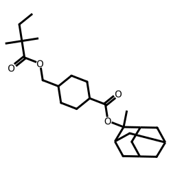 CCC(C)(C)C(=O)OCC1CCC(C(=O)OC2(C)C3CC4CC(C3)CC2C4)CC1